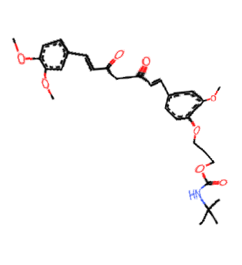 COc1ccc(/C=C/C(=O)CC(=O)/C=C/c2ccc(OCCOC(=O)NC(C)(C)C)c(OC)c2)cc1OC